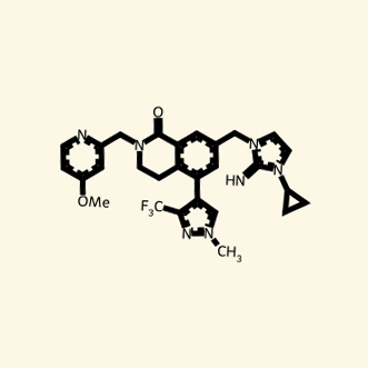 COc1ccnc(CN2CCc3c(cc(Cn4ccn(C5CC5)c4=N)cc3-c3cn(C)nc3C(F)(F)F)C2=O)c1